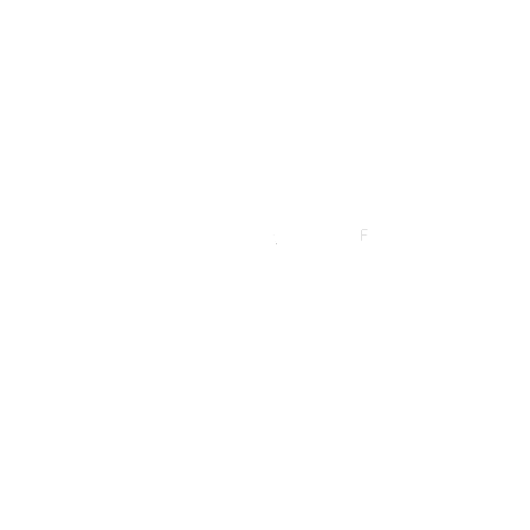 FC(F)CS[C]1CCCC1